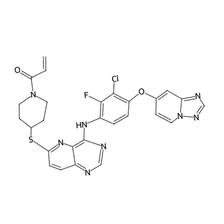 C=CC(=O)N1CCC(Sc2ccc3ncnc(Nc4ccc(Oc5ccn6ncnc6c5)c(Cl)c4F)c3n2)CC1